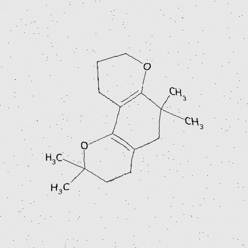 CC1(C)CCC2=C(O1)C1=C(OCCC1)C(C)(C)C2